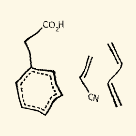 C=CC#N.C=CC=C.O=C(O)Cc1ccccc1